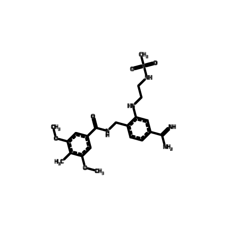 COc1cc(C(=O)NCc2ccc(C(=N)N)cc2NCCNS(C)(=O)=O)cc(OC)c1C